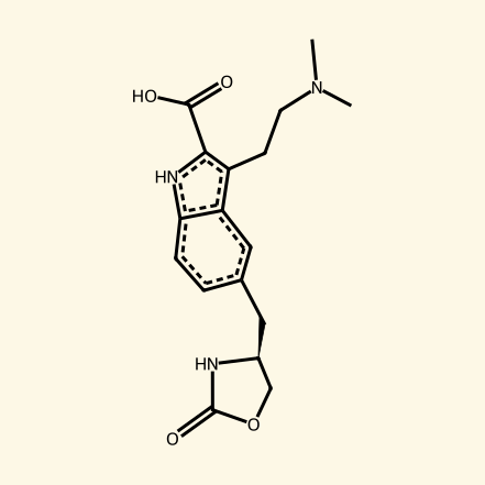 CN(C)CCc1c(C(=O)O)[nH]c2ccc(C[C@H]3COC(=O)N3)cc12